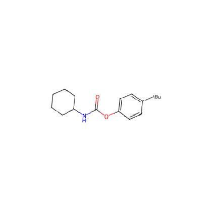 CC(C)(C)c1ccc(OC(=O)NC2CCCCC2)cc1